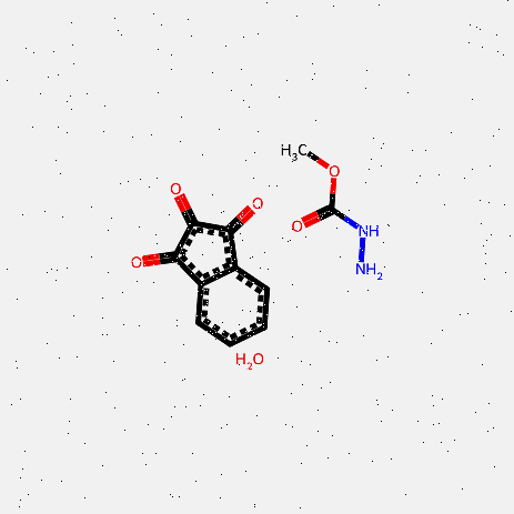 COC(=O)NN.O.O=c1c(=O)c2ccccc2c1=O